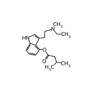 CCN(C)CCc1c[nH]c2cccc(OC(=O)CC(C)C)c12